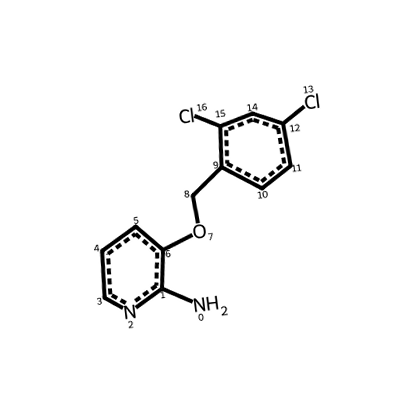 Nc1ncccc1OCc1ccc(Cl)cc1Cl